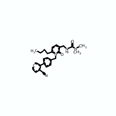 CCCCc1ccc(CNC(=O)N(C)C)c(=O)n1Cc1ccc(-c2ccccc2C#N)cc1